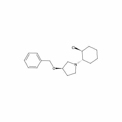 Cl[C@H]1CCCC[C@@H]1N1CC[C@@H](OCc2ccccc2)C1